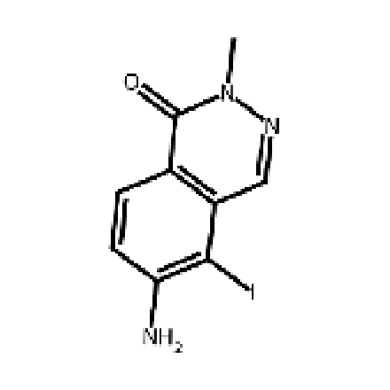 Cn1ncc2c(I)c(N)ccc2c1=O